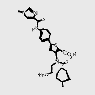 COCCN(c1cc(-c2ccc(NC(=O)c3cn(C)cn3)cc2)sc1C(=O)O)C(=O)[C@H]1CC[C@H](C)CC1